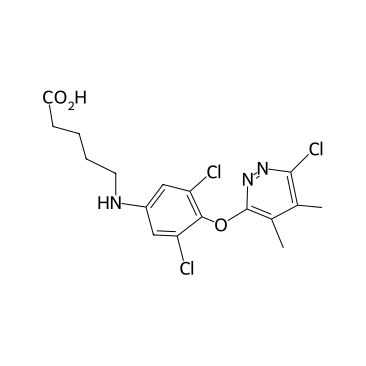 Cc1c(Cl)nnc(Oc2c(Cl)cc(NCCCCC(=O)O)cc2Cl)c1C